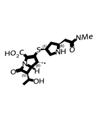 CNC(=O)C[C@@H]1C[C@H](SC2=C(C(=O)O)N3C(=O)[C@H](C(C)O)[C@H]3[C@H]2C)CN1